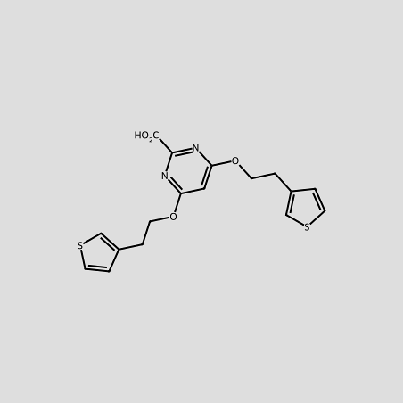 O=C(O)c1nc(OCCc2ccsc2)cc(OCCc2ccsc2)n1